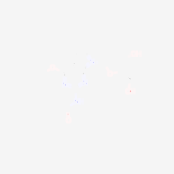 COc1nc(NC=O)nc2c1ccn2[C@@H]1C[C@H](O)[C@@H](CO)O1